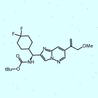 C=C(COC)c1cnn2cc([C@@H](NC(=O)OC(C)(C)C)C3CCC(F)(F)CC3)nc2c1